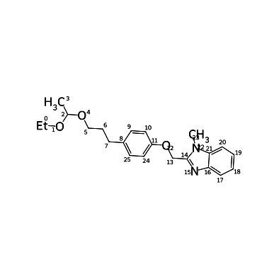 CCOC(C)OCCCc1ccc(OCc2nc3ccccc3n2C)cc1